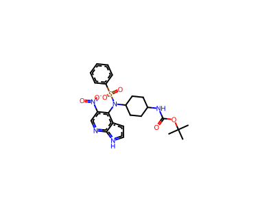 CC(C)(C)OC(=O)NC1CCC(N(c2c([N+](=O)[O-])cnc3[nH]ccc23)S(=O)(=O)c2ccccc2)CC1